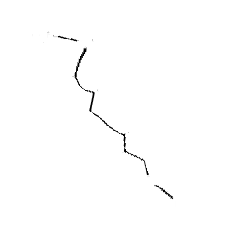 CCCCCOCCCCCCO[N+](=O)[O-]